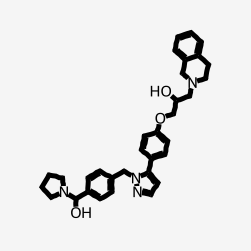 OC(COc1ccc(-c2ccnn2Cc2ccc(C(O)N3CCCC3)cc2)cc1)CN1CCc2ccccc2C1